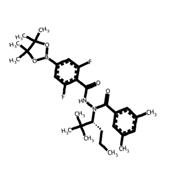 CCC[C@@H](N(NC(=O)c1c(F)cc(B2OC(C)(C)C(C)(C)O2)cc1F)C(=O)c1cc(C)cc(C)c1)C(C)(C)C